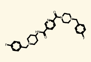 O=C(NC1CCN(Cc2ccc(F)cc2)CC1)c1ccc(C(=O)N2CCN(Cc3ccc(F)cc3)CC2)nc1